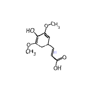 COC1=CC(/C=C/C(=O)O)CC(OC)=C1O